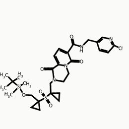 CC(C)(C)[Si](C)(C)OCC1(S(=O)(=O)C2(CN3CCn4c(ccc(C(=O)NCc5ccc(Cl)nc5)c4=O)C3=O)CC2)CC1